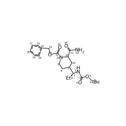 CC[C@H](NC(=O)OC(C)(C)C)C1CCN(C(=O)OCc2ccccc2)C(C(N)=O)C1